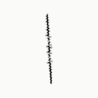 CCCCCCCCCCCCCCCC(=O)NCCOCCNC(=O)CC[C@H](Cl)C(=O)NCCOCCNC(=O)CCCCCCCCCCCCCCC